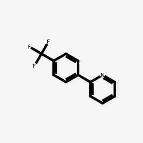 FC(F)(F)c1c[c]c(-c2ccccn2)cc1